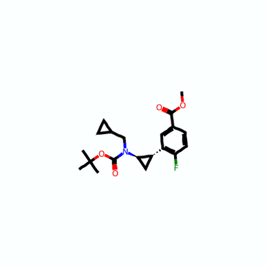 COC(=O)c1ccc(F)c([C@@H]2C[C@H]2N(CC2CC2)C(=O)OC(C)(C)C)c1